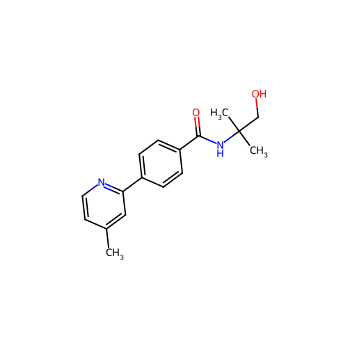 Cc1ccnc(-c2ccc(C(=O)NC(C)(C)CO)cc2)c1